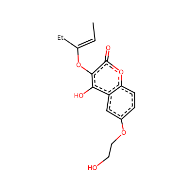 CC=C(CC)Oc1c(O)c2cc(OCCO)ccc2oc1=O